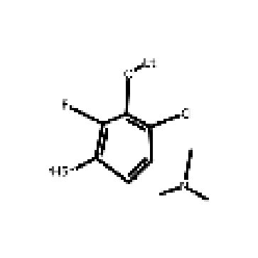 CCOc1c(Cl)cc[c]([SnH])c1F.CN(C)C